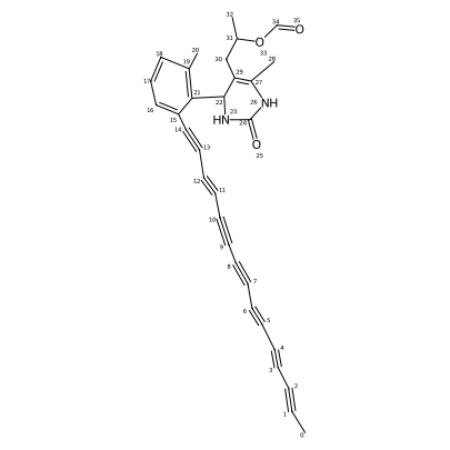 CC#CC#CC#CC#CC#CC#CC#Cc1cccc(C)c1C1NC(=O)NC(C)=C1CC(C)OC=O